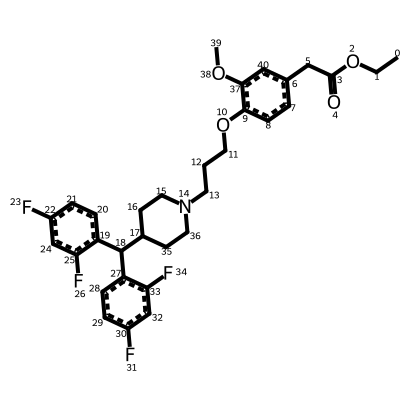 CCOC(=O)Cc1ccc(OCCCN2CCC(C(c3ccc(F)cc3F)c3ccc(F)cc3F)CC2)c(OC)c1